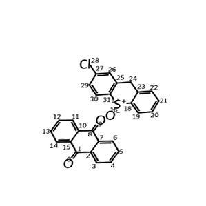 O=C1c2ccccc2C(=O)c2ccccc21.[O-][S+]1c2ccccc2Cc2cc(Cl)ccc21